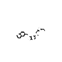 CCc1noc(CN(C)c2cnc3nnn(Cc4ccc5ncccc5c4)c3n2)n1